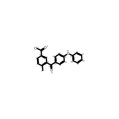 Cc1ccc(C(=O)Cl)cc1C(=O)c1ccc(Oc2ccccc2)cc1